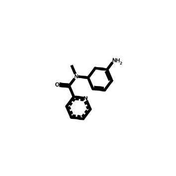 CN(C(=O)c1ccccn1)C1C=CC=C(N)C1